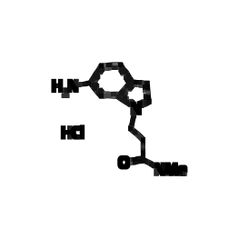 CNC(=O)CCn1ccc2ccc(N)cc21.Cl